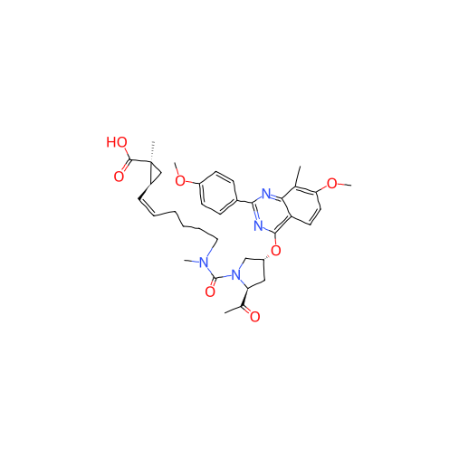 COc1ccc(-c2nc(O[C@@H]3C[C@@H](C(C)=O)N(C(=O)N(C)CCCC/C=C\[C@@H]4C[C@]4(C)C(=O)O)C3)c3ccc(OC)c(C)c3n2)cc1